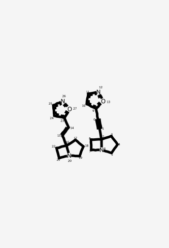 C(#CC12CCCN1CC2)c1ccno1.C(=CC12CCCN1CC2)c1ccno1